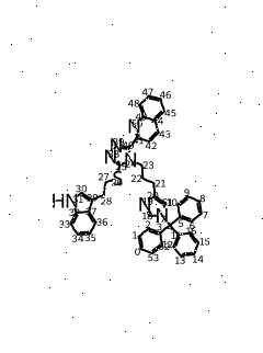 c1ccc(C(c2ccccc2)(c2ccccc2)n2cnc(CCCn3c(SCCc4c[nH]c5ccccc45)nnc3-c3ccc4ccccc4n3)c2)cc1